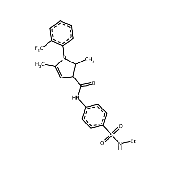 CCNS(=O)(=O)c1ccc(NC(=O)C2C=C(C)N(c3ccccc3C(F)(F)F)C2C)cc1